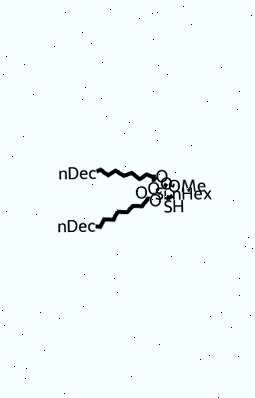 CCCCCCCCCCCCCCCCCC(=O)O[Si](OOC)(OC(=O)CCCCCCCCCCCCCCCCC)C(S)CCCCCC